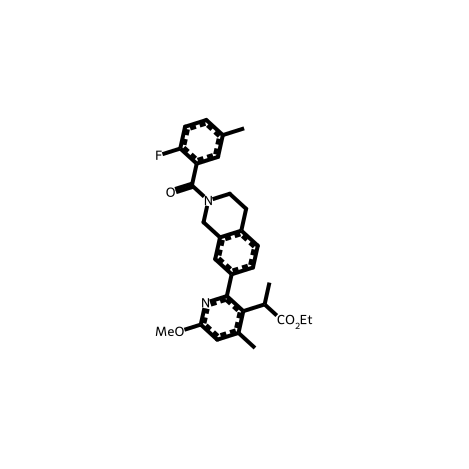 CCOC(=O)C(C)c1c(C)cc(OC)nc1-c1ccc2c(c1)CN(C(=O)c1cc(C)ccc1F)CC2